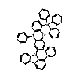 c1ccc(B2c3cc(-n4c5ccccc5c5cccc(-c6ccccc6)c54)ccc3N3c4ccccc4[Si](c4ccccc4)(c4ccccc4)c4cccc2c43)cc1